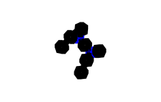 c1ccc(-c2ccc(N(c3ccccc3)c3ccc(-n4c5ccccc5c5ccc(-c6ccccc6)cc54)cc3)cc2)cc1